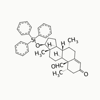 C[C@@H]1CC2=CC(=O)C[C@H](C)[C@]2(C=O)[C@H]2CC[C@]3(C)[C@@H](O[Si](c4ccccc4)(c4ccccc4)c4ccccc4)CC[C@H]3[C@H]12